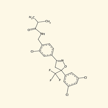 CC(C)C(=O)NCc1ccc(C2=NOC(c3cc(Cl)cc(Cl)c3)(C(F)(F)F)C2)cc1Cl